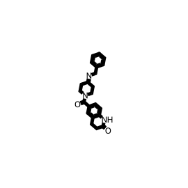 O=C1CCc2cc(C(=O)N3CCC(=NCc4ccccc4)CC3)ccc2N1